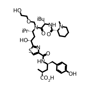 CCC(C)[C@H](NC(=O)[C@H]1CCCCN1C)C(=O)N(COCCO)[C@H](C[C@@H](O)c1nc(C(=O)N[C@@H](Cc2ccc(O)cc2)C[C@H](C)C(=O)O)cs1)C(C)C